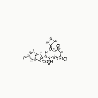 O=C(NC1(C(=O)O)Cc2ccc(F)cc2C1)c1cc(Cl)cc(Cl)c1OC1CCC1